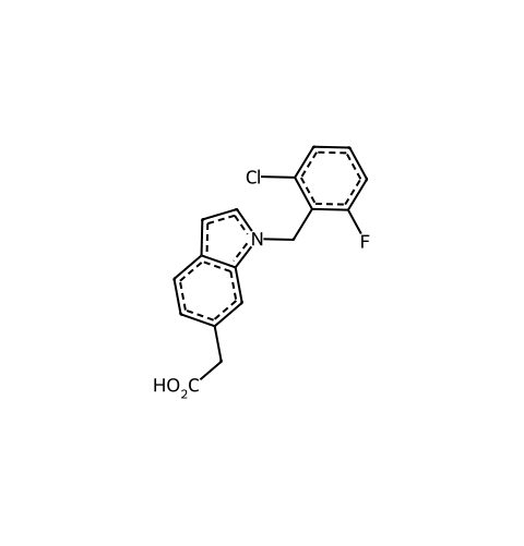 O=C(O)Cc1ccc2ccn(Cc3c(F)cccc3Cl)c2c1